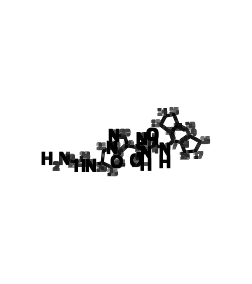 N=S(=O)(NC(=O)Nc1c2c(cc3c1CCC3)CCC2)c1cnn2c1OCC(NCCN)C2